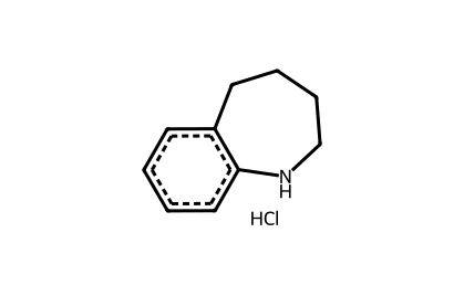 Cl.c1ccc2c(c1)CCCCN2